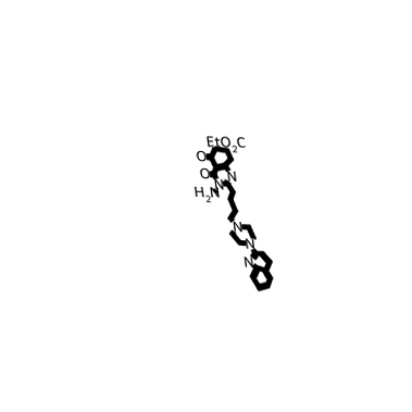 CCOC(=O)C1CCc2nc(CCCCN3CCN(c4ccc5ccccc5n4)CC3)n(N)c(=O)c2C1=O